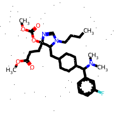 CCCCN1C=NC(CCC(=O)OC)(OC(=O)OC)C1CC1CCC(C(c2cccc(F)c2)N(C)C)CC1